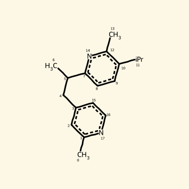 Cc1cc(CC(C)c2ccc(C(C)C)c(C)n2)ccn1